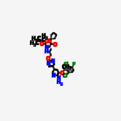 CC(Oc1cc(-c2cnc(OCCC[C@H](NC(=O)OC(C)(C)C)C(=O)OC3CCCC3)nc2)cnc1N)c1c(Cl)ccc(F)c1Cl